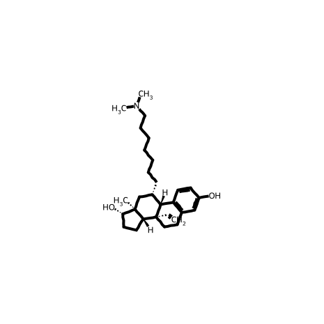 C=C[C@@]12CCc3cc(O)ccc3[C@H]1[C@@H](CCCCCCCN(C)C)C[C@@]1(C)[C@H]2CC[C@@H]1O